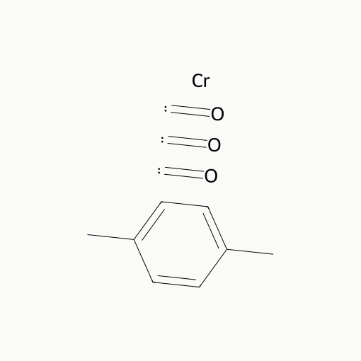 Cc1ccc(C)cc1.[C]=O.[C]=O.[C]=O.[Cr]